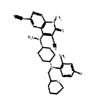 Cc1cc(F)ccc1N(CC1CCCCO1)[C@H]1CC[C@H](N(C)c2c(C#N)c(=O)n(C)c3ccc(C#N)nc23)CC1